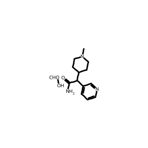 CN1CCC(C(C(N)=O)c2cccnc2)CC1.O=CO